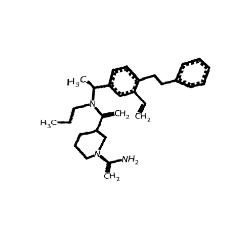 C=Cc1cc(C(C)N(CCC)C(=C)C2CCCN(C(=C)N)C2)ccc1CCc1ccccc1